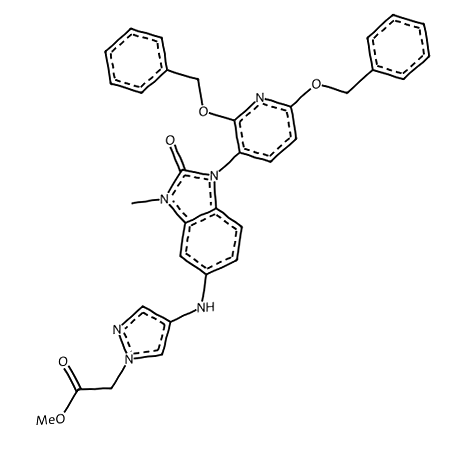 COC(=O)Cn1cc(Nc2ccc3c(c2)n(C)c(=O)n3-c2ccc(OCc3ccccc3)nc2OCc2ccccc2)cn1